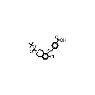 CC(C)(C)OC(=O)N1CCc2ccc(Cl)c(SCc3ccc(C(=O)O)cc3)c2CC1